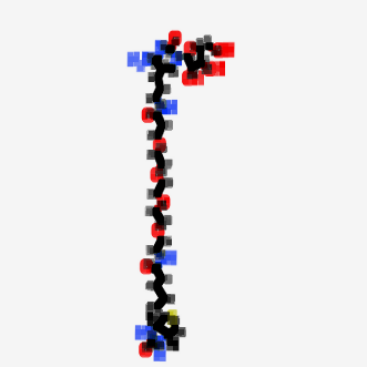 Nc1nc(=O)n([C@@H]2O[C@H](CO)C(O)C2O)cc1CCCNC(=O)CCOCCOCCOCCOCCNC(=O)CCCC[C@@H]1SC[C@@H]2NC(=O)N[C@@H]21